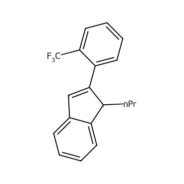 CCC[C]1C(c2ccccc2C(F)(F)F)=Cc2ccccc21